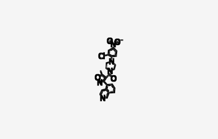 Cc1onc(-c2cccc3cnccc23)c1C(=O)N1CCN(c2ccc([N+](=O)[O-])cc2Cl)CC1